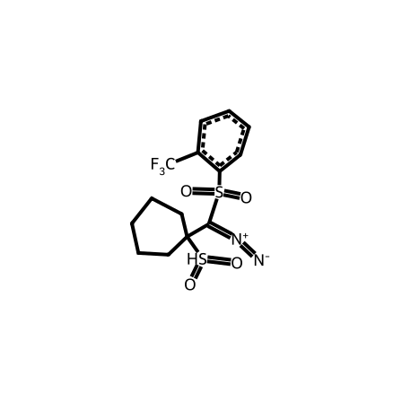 [N-]=[N+]=C(C1([SH](=O)=O)CCCCC1)S(=O)(=O)c1ccccc1C(F)(F)F